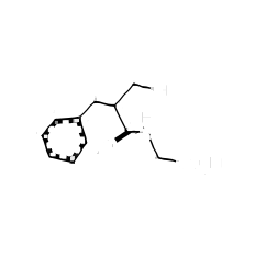 CCOC(=O)CNC(=O)C(CO)Cc1ccccc1